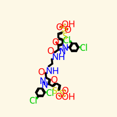 O=C(NCCCNC(=O)c1nn(-c2ccc(Cl)cc2Cl)c2c1oc1cc(S(=O)(=O)O)sc12)c1nn(-c2ccc(Cl)cc2Cl)c2c1oc1cc(S(=O)(=O)O)sc12